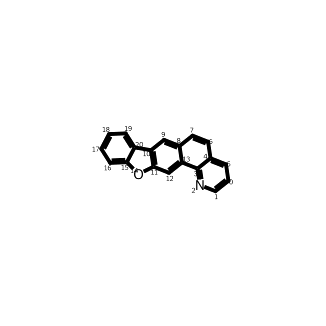 c1cnc2c(c1)ccc1cc3c(cc12)oc1ccccc13